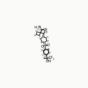 CCC(N1CCN(S(=O)(=O)c2ccc(C(C)(O)C(F)(F)F)cc2)CC1)C1(C(N)=O)CCC1